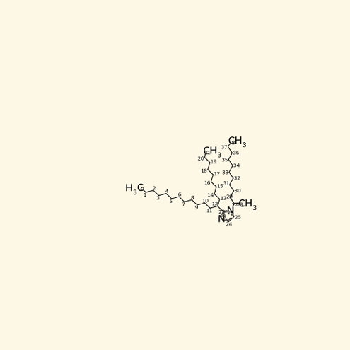 CCCCCCCCCCCCC(CCCCCCCCC)c1nccn1C(C)CCCCCCCCCC